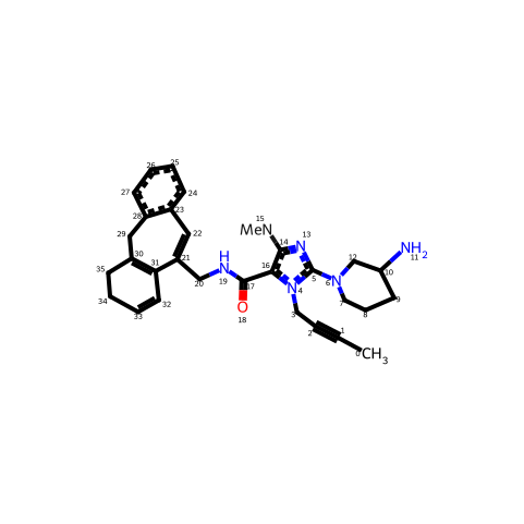 CC#CCn1c(N2CCCC(N)C2)nc(NC)c1C(=O)NCC1=Cc2ccccc2CC2=C1C=CCC2